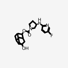 O=C(OC1C2CC3CC1CC(O)(C3)C2)N1CC[C@@H](Nc2ccc(F)cn2)C1